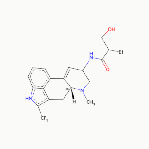 CCC(CO)C(=O)NC1C=C2c3cccc4[nH]c(C(F)(F)F)c(c34)C[C@H]2N(C)C1